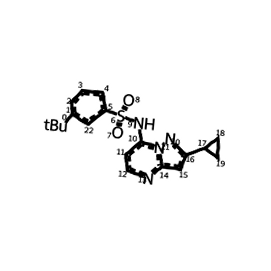 CC(C)(C)c1cccc(S(=O)(=O)Nc2ccnc3cc(C4CC4)nn23)c1